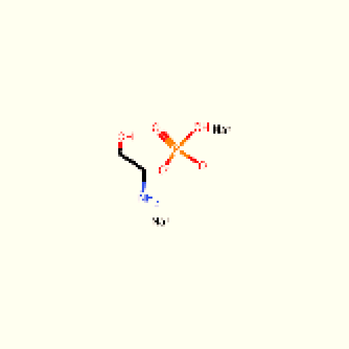 NCCO.O=P([O-])([O-])O.[Na+].[Na+]